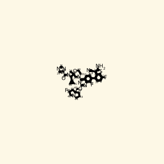 N#Cc1c(N)sc2c(F)ccc(-c3c(Cl)cc4c(N5CCOC6(C5)CN(C(=O)n5cncn5)C6C5CC5)nc(OC[C@@]56CCCN5C[C@H](F)C6)nc4c3F)c12